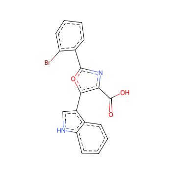 O=C(O)c1nc(-c2ccccc2Br)oc1-c1c[nH]c2ccccc12